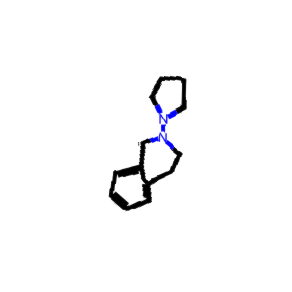 [C]1c2ccccc2CCN1N1CCCC1